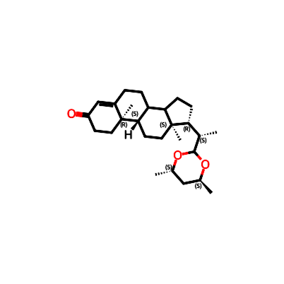 C[C@H](C1O[C@@H](C)C[C@H](C)O1)[C@H]1CCC2C3CCC4=CC(=O)CC[C@]4(C)[C@H]3CC[C@@]21C